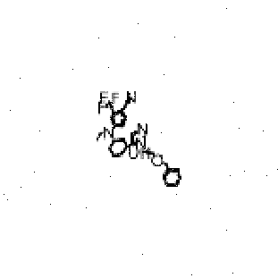 CCN(c1ccc(C#N)c(C(F)(F)F)c1)C1CCCC(O)(c2cncn2CCOCc2ccccc2)C1